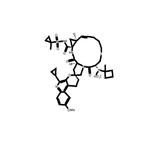 COc1ccc2nc(C3CC3)c3c(c2c1)CC[C@]1(C[C@H]2C(=O)N[C@]4(C(=O)NS(=O)(=O)C5(C)CC5)C[C@H]4/C=C\CCCCC[C@H](N(C(=O)O)C4(C)CCC4)C(=O)N2C1)O3